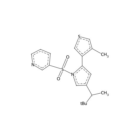 C[C](c1cc(-c2cscc2C)n(S(=O)(=O)c2cccnc2)c1)C(C)(C)C